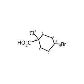 O=C(O)C1(Cl)CCC(Br)CC1